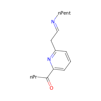 CCCCCN=CCc1cccc(C(=O)CCC)n1